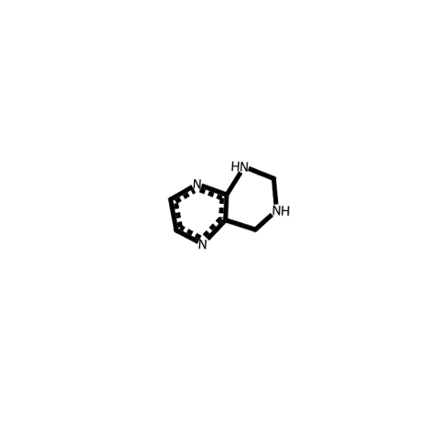 c1cnc2c(n1)CNCN2